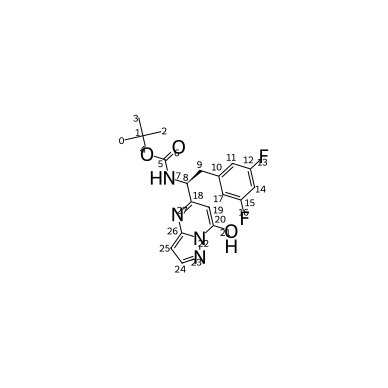 CC(C)(C)OC(=O)N[C@@H](Cc1cc(F)cc(F)c1)c1cc(O)n2nccc2n1